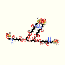 C=C(NC(=O)CCCC(=O)OCOC(COCOC(=O)CCCC(=O)NCCSS(C)(=O)=O)COCC(COCOC(=O)CCCC(=O)NCCSS(C)(=O)=O)OCOC(=O)CCCC(=O)NCCSS(C)(=O)=O)SS(C)(=O)=O